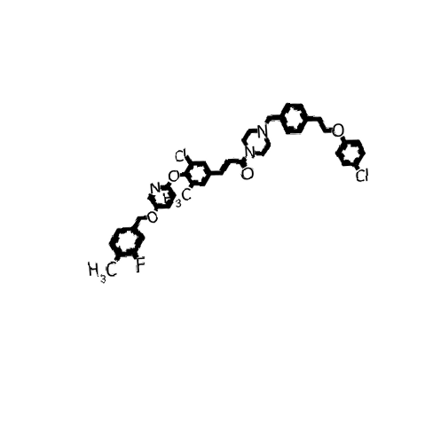 Cc1ccc(COc2ccc(Oc3c(C)cc(/C=C/C(=O)N4CCN(Cc5ccc(CCOc6ccc(Cl)cc6)cc5)CC4)cc3Cl)nc2)cc1F